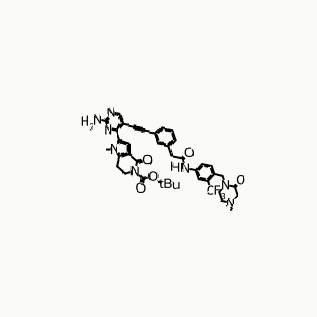 CN1CCN(Cc2ccc(NC(=O)Cc3cccc(C#Cc4cnc(N)nc4-c4cc5c(n4C)CCN(C(=O)OC(C)(C)C)C5=O)c3)cc2C(F)(F)F)C(=O)C1